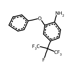 Nc1ccc(C(F)(C(F)(F)F)C(F)(F)F)cc1Oc1ccccc1